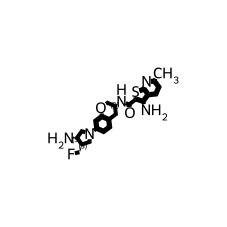 Cc1ccc2c(N)c(C(=O)N[C@H]3COc4cc(N5C[C@H](CF)[C@H](N)C5)ccc4C3)sc2n1